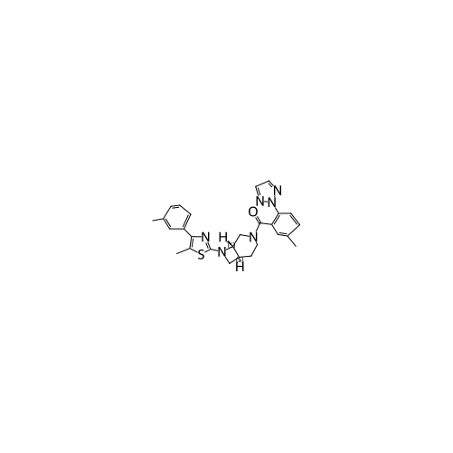 Cc1cccc(-c2nc(N3C[C@@H]4CCN(C(=O)c5cc(C)ccc5-n5nccn5)C[C@H]43)sc2C)c1